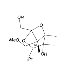 COC[C@]1(C)C2(CO)OC(C(C)C)C(C)(O)C1(C)O2